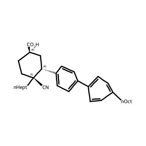 CCCCCCCCc1ccc(-c2ccc([C@H]3C[C@H](C(=O)O)CC[C@@]3(C#N)CCCCCCC)cc2)cc1